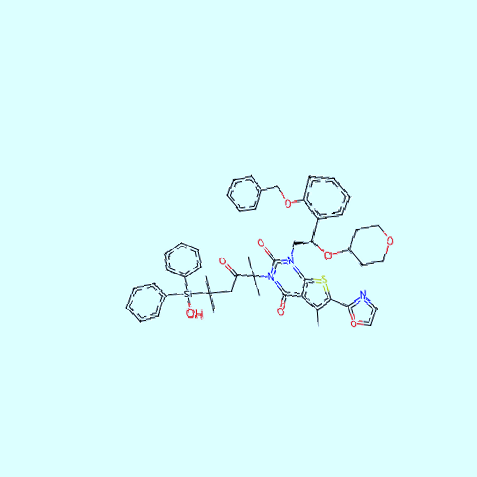 Cc1c(-c2ncco2)sc2c1c(=O)n(C(C)(C)C(=O)CC(C)(C)[Si](O)(c1ccccc1)c1ccccc1)c(=O)n2C[C@H](OC1CCOCC1)c1ccccc1OCc1ccccc1